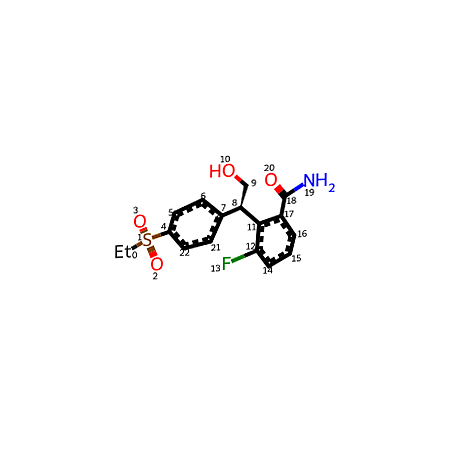 CCS(=O)(=O)c1ccc([C@@H](CO)c2c(F)cccc2C(N)=O)cc1